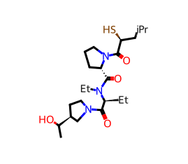 CC[C@@H](C(=O)N1CC[C@H](C(C)O)C1)N(CC)C(=O)[C@@H]1CCCN1C(=O)[C@@H](S)CC(C)C